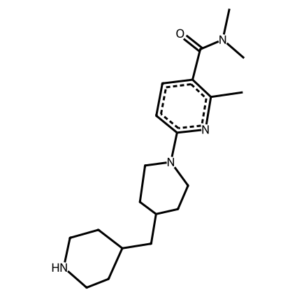 Cc1nc(N2CCC(CC3CCNCC3)CC2)ccc1C(=O)N(C)C